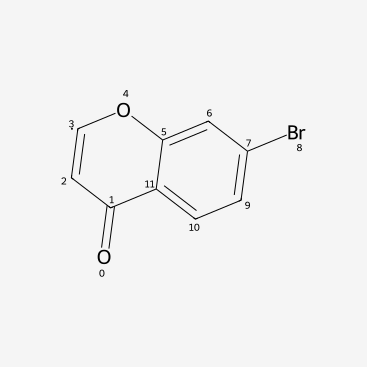 O=c1c[c]oc2cc(Br)ccc12